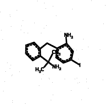 CC(C)(N)c1ccccc1Cc1ccc(I)cc1N